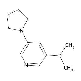 CC(C)c1cncc(N2CCCC2)c1